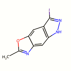 Cc1nc2cc3[nH]nc(I)c3cc2o1